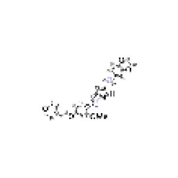 COc1cc(OCCN2CCOCC2)ccc1/C=C/c1cc(/C=C/c2ccc3c(c2)OCCO3)[nH]n1